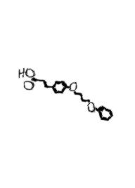 O=C(O)C=Cc1ccc(OCCCCOc2ccccc2)cc1